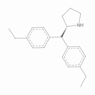 CCc1ccc(C(c2ccc(CC)cc2)[C@H]2CCCN2)cc1